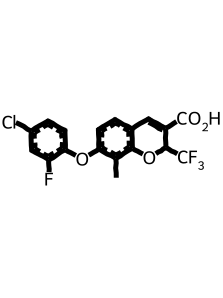 Cc1c(Oc2ccc(Cl)cc2F)ccc2c1OC(C(F)(F)F)C(C(=O)O)=C2